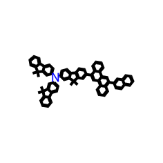 CC1(C)c2ccccc2-c2ccc(N(c3ccc4c(c3)C(C)(C)c3ccccc3-4)c3ccc4c(c3)C(C)(C)c3cc(-c5cc6c7ccccc7c(-c7ccc8ccccc8c7)cc6c6ccccc56)ccc3-4)cc21